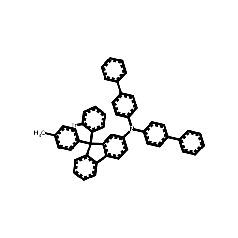 Cc1ccc(C2(c3ccccc3Br)c3ccccc3-c3ccc(N(c4ccc(-c5ccccc5)cc4)c4ccc(-c5ccccc5)cc4)cc32)cc1